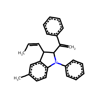 C=C(c1ccccc1)C1C(/C=C\C)c2cc(C)ccc2N1c1ccccc1